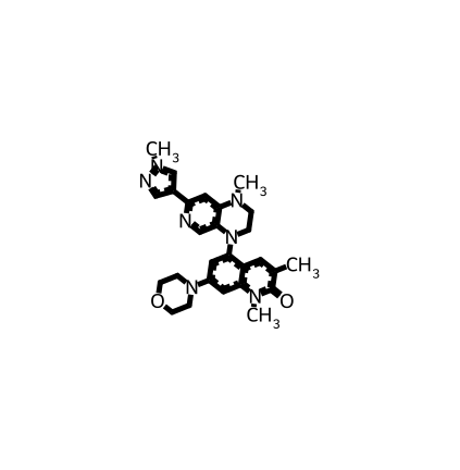 Cc1cc2c(N3CCN(C)c4cc(-c5cnn(C)c5)ncc43)cc(N3CCOCC3)cc2n(C)c1=O